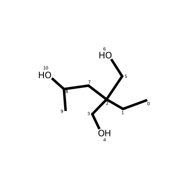 CCC(CO)(CO)CC(C)O